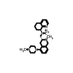 CN1CCN(c2cccc3c2C[C@H](CN(C)[C@H]2CCCc4cccnc42)N(C)C3)CC1